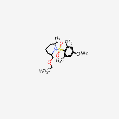 COc1cc(C)c(S(=O)(=O)N2C(C)CCCC2COCC(=O)O)c(C)c1